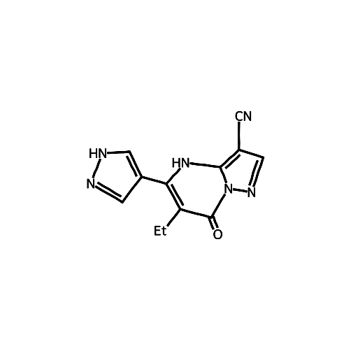 CCc1c(-c2cn[nH]c2)[nH]c2c(C#N)cnn2c1=O